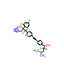 CN(C)CC(F)(F)C(O)c1ccc(C#Cc2ccc(C(F)(F)C(O)(Cn3cnnn3)c3ccc(F)cc3F)nc2)cc1